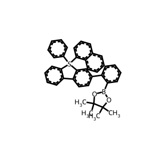 CC1(C)OB(c2ccccc2-c2ccc3c(c2)S(c2ccccc2)(c2cccc4ccccc24)c2ccccc2-3)OC1(C)C